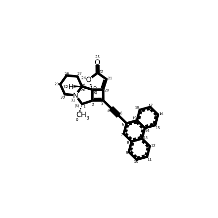 C[C@H]1C2=C(C#Cc3cc4ccccc4c4ccccc34)C3=CC(=O)O[C@]32[C@H]2CCCCN12